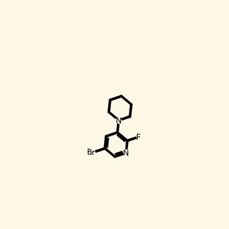 Fc1ncc(Br)cc1N1CCCCC1